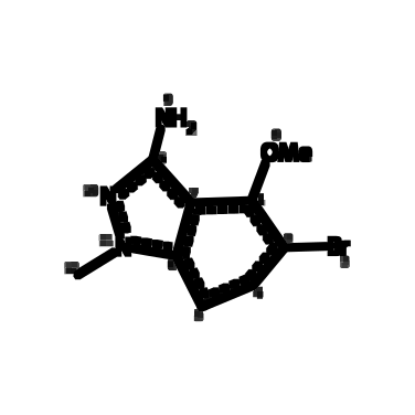 COc1c(Br)ccc2c1c(N)nn2C